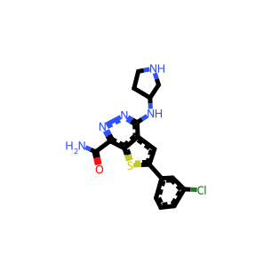 NC(=O)c1nnc(NC2CCNC2)c2cc(-c3cccc(Cl)c3)sc12